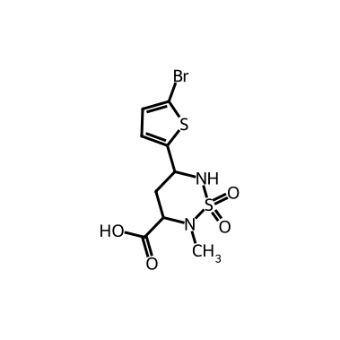 CN1C(C(=O)O)CC(c2ccc(Br)s2)NS1(=O)=O